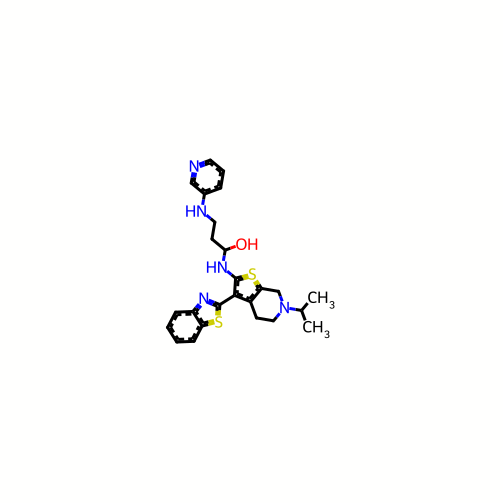 CC(C)N1CCc2c(sc(NC(O)CCNc3cccnc3)c2-c2nc3ccccc3s2)C1